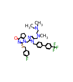 CCN(CC)CCN(C)Cc1cnc(Cn2c(SCc3ccc(F)cc3)nc(=O)c3c2CCC3)n1Cc1ccc(-c2ccc(C(F)(F)F)cc2)cc1